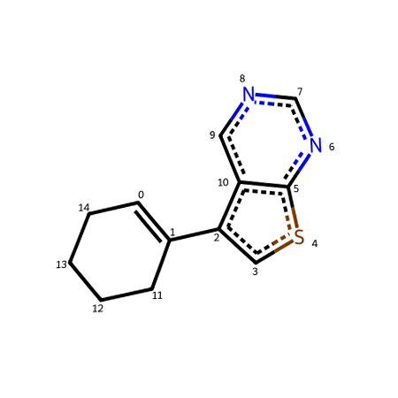 C1=C(c2csc3ncncc23)CCCC1